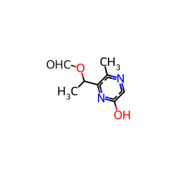 Cc1ncc(O)nc1C(C)OC=O